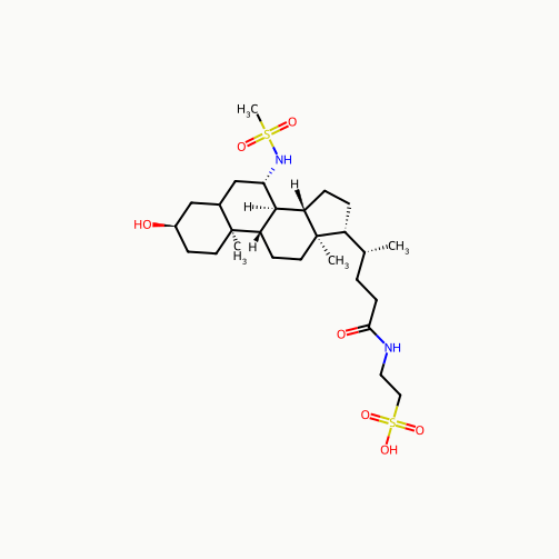 C[C@H](CCC(=O)NCCS(=O)(=O)O)[C@H]1CC[C@H]2[C@@H]3[C@@H](NS(C)(=O)=O)CC4C[C@H](O)CC[C@]4(C)[C@H]3CC[C@]12C